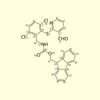 O=Cc1cccnc1Sc1c(Cl)ccc(Cl)c1CNC(=O)OCC1c2ccccc2-c2ccccc21